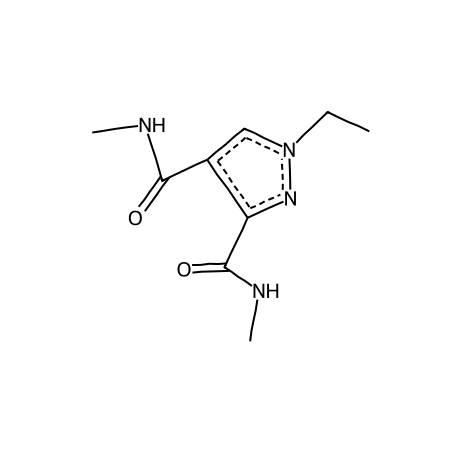 CCn1cc(C(=O)NC)c(C(=O)NC)n1